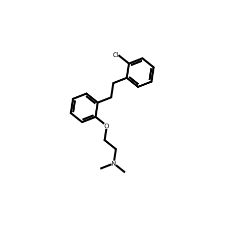 CN(C)CCOc1ccccc1CCc1ccccc1Cl